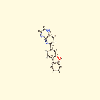 c1ccc2c(c1)oc1cc(-c3ccc4nccnc4n3)ccc12